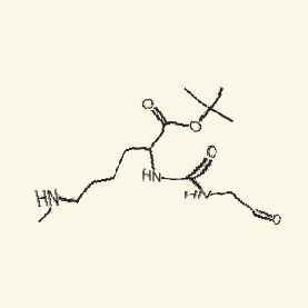 CNCCCCC(NC(=O)NCC=O)C(=O)OC(C)(C)C